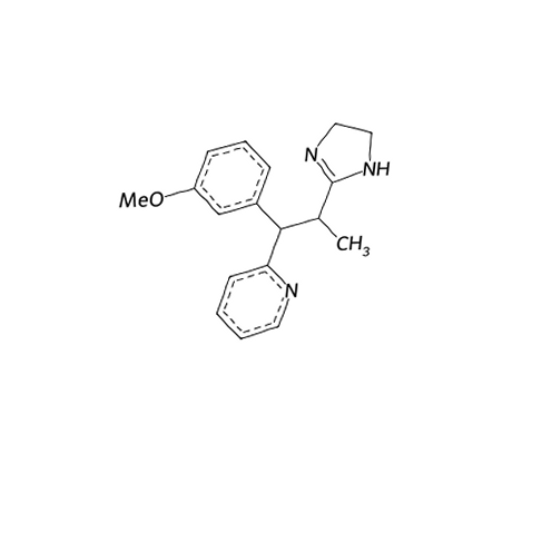 COc1cccc(C(c2ccccn2)C(C)C2=NCCN2)c1